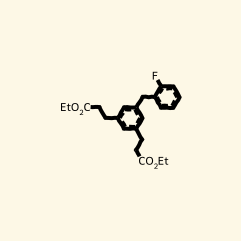 CCOC(=O)CCc1cc(CCC(=O)OCC)cc(Cc2ccccc2F)c1